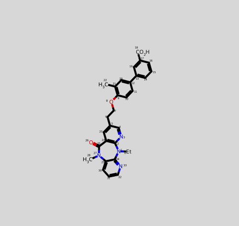 CCN1c2ncc(CCOc3ccc(-c4cccc(C(=O)O)c4)cc3C)cc2C(=O)N(C)c2cccnc21